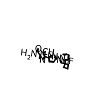 Cn1c(C(N)=O)cnc1-c1ccc(NCC2(c3ncccc3F)CCC2)nn1